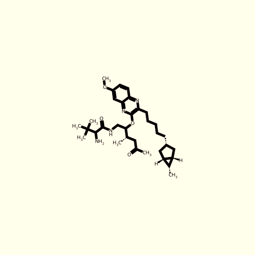 COc1ccc2nc(CCCCC[C@@H]3C[C@@H]4[C@H](C)[C@@H]4C3)c(OC(CNC(=O)C(N)C(C)(C)C)[C@@H](C)CC(C)=O)nc2c1